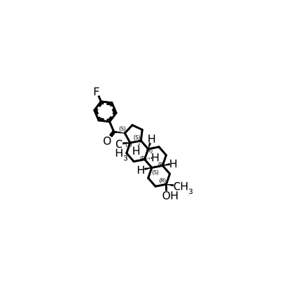 C[C@@]1(O)CC[C@H]2[C@H](CC[C@@H]3[C@@H]2CC[C@]2(C)[C@@H](C(=O)c4ccc(F)cc4)CC[C@@H]32)C1